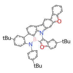 CC(C)(C)c1ccc(N2B3c4oc5ccc(C(C)(C)C)cc5c4-n4c5cc6oc7ccccc7c6cc5c5ccc(c3c54)-c3cc(C(C)(C)C)ccc32)cc1